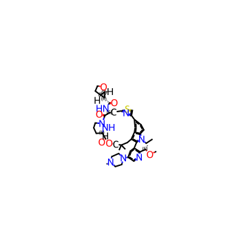 CCn1c(-c2cc(N3CCN(C)CC3)cnc2[C@H](C)OC)c2c3cc(ccc31)-c1csc(n1)C[C@H](NC(=O)[C@@H]1[C@H]3CCO[C@H]31)C(=O)N1CCC[C@H](N1)C(=O)OCC(C)(C)C2